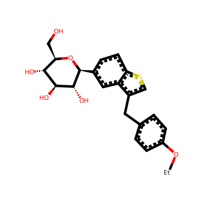 CCOc1ccc(Cc2csc3ccc([C@@H]4O[C@H](CO)[C@@H](O)[C@H](O)[C@H]4O)cc23)cc1